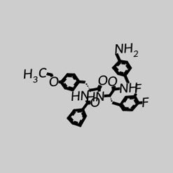 CCOc1ccc(C[C@@H](NC(=O)c2ccccc2)C(=O)N[C@@H](Cc2ccc(F)c(F)c2)C(=O)NCc2ccc(CN)cc2)cc1